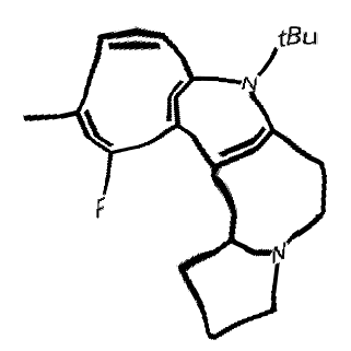 Cc1ccc2c(c1F)c1c(n2C(C)(C)C)CCN2CCCC12